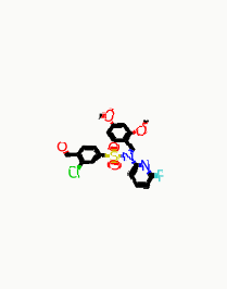 COc1ccc(CN(c2cccc(F)n2)S(=O)(=O)c2ccc(C=O)c(Cl)c2)c(OC)c1